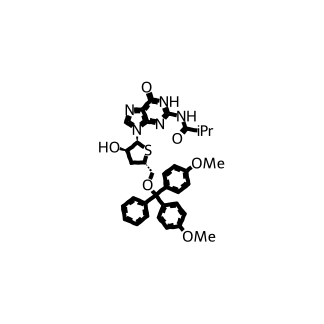 COc1ccc(C(OC[C@@H]2C[C@@H](O)[C@H](n3cnc4c(=O)[nH]c(NC(=O)C(C)C)nc43)S2)(c2ccccc2)c2ccc(OC)cc2)cc1